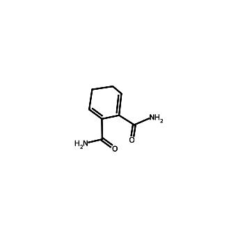 NC(=O)C1=CCCC=C1C(N)=O